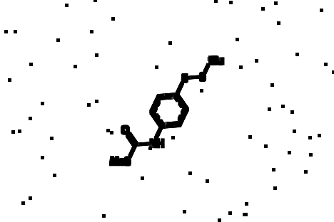 CSC(=O)Nc1ccc(SSC(C)(C)C)cc1